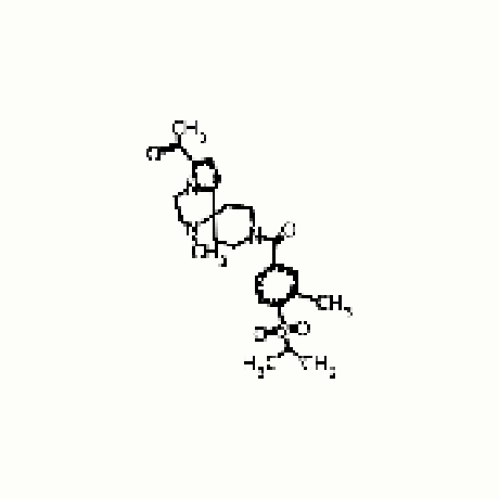 CC(=O)c1ccc2n1CCN(C)C21CCN(C(=O)c2ccc(S(=O)(=O)C(C)C)c(C)c2)CC1